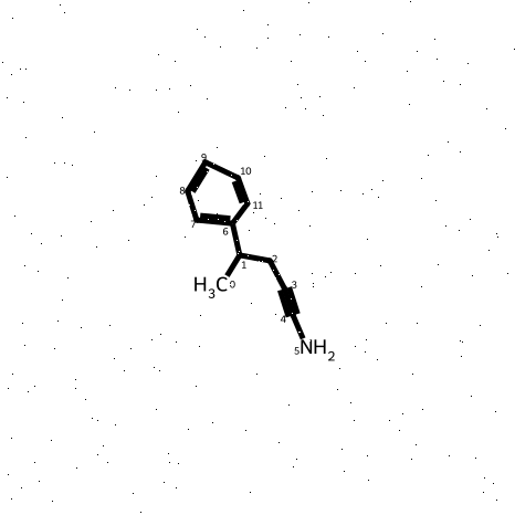 CC(CC#CN)c1ccccc1